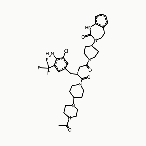 CC(=O)N1CCN(C2CCN(C(=O)[C@H](CC(=O)N3CCC(N4CCc5ccccc5NC4=O)CC3)Cc3cc(Cl)c(N)c(C(F)(F)F)c3)CC2)CC1